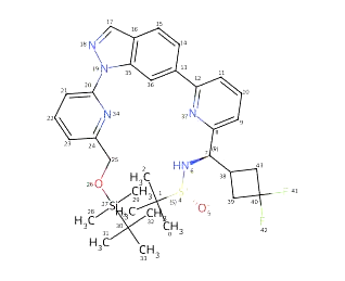 CC(C)(C)[S@@+]([O-])N[C@@H](c1cccc(-c2ccc3cnn(-c4cccc(CO[Si](C)(C)C(C)(C)C)n4)c3c2)n1)C1CC(F)(F)C1